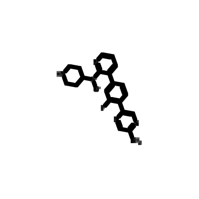 Nc1cnc(-c2ccc(-c3cccnc3[S+]([O-])C3CCNCC3)cc2F)cn1